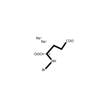 O=C([O-])CC[C@H](NBr)C(=O)[O-].[Na+].[Na+]